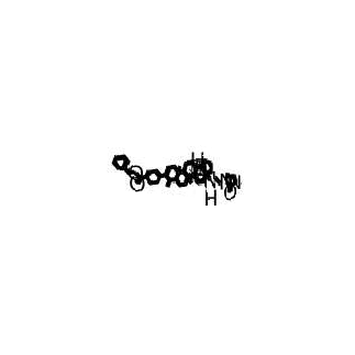 CC1C(C2=CCC(C(=O)OCc3ccccc3)CC2)=CCC2(C)C1CCC1(C)C2CC[C@@H]2[C@H]3CCCC3(NCCN3CCN(C)C3=O)CC[C@]21C